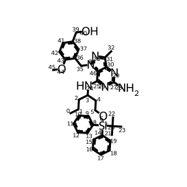 CCCC(CCO[Si](c1ccccc1)(c1ccccc1)C(C)(C)C)Nc1nc(N)nc2c(C)nn(Cc3cc(CO)ccc3OC)c12